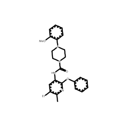 CCc1cc(NC(=O)N2CCN(c3ccccc3OC)CC2)c(Oc2ccccc2)nc1C